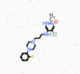 C[N+]1([O-])C=C(Cl)C(NCCCN2CCN(c3ccccc3F)CC2)=CN1